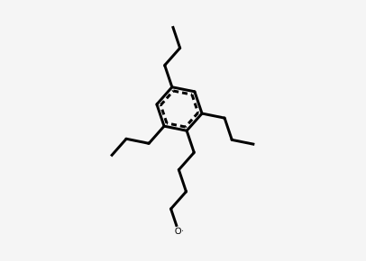 CCCc1cc(CCC)c(CCCC[O])c(CCC)c1